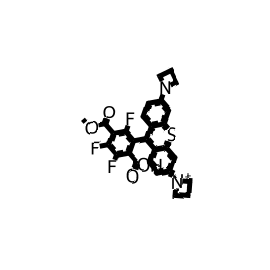 COC(=O)c1c(F)c(F)c(C(=O)O)c(-c2c3ccc(=[N+]4CCC4)cc-3sc3cc(N4CCC4)ccc23)c1F